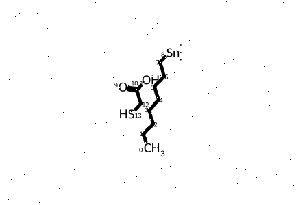 CCCCCCC[CH2][Sn].O=C(O)CS